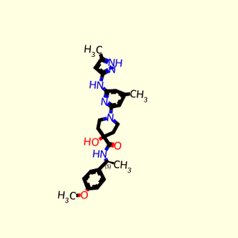 COc1ccc([C@H](C)NC(=O)C2(O)CCN(c3cc(C)cc(Nc4cc(C)[nH]n4)n3)CC2)cc1